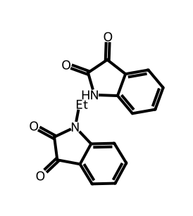 CCN1C(=O)C(=O)c2ccccc21.O=C1Nc2ccccc2C1=O